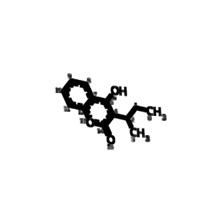 CCC(C)c1c(O)c2ccccc2oc1=O